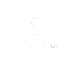 CC(C)(C)N1CCN(C(=O)c2ccccc2-c2cccc(N)c2)CC1